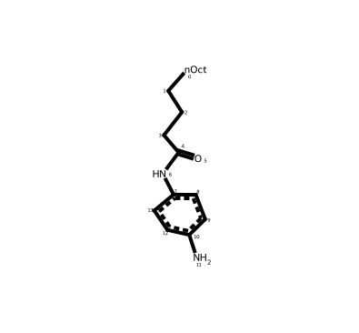 CCCCCCCCCCCC(=O)Nc1ccc(N)cc1